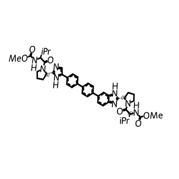 COC(=O)NC(C(=O)N1CCC[C@H]1c1ncc(-c2ccc(-c3ccc(-c4ccc5nc([C@@H]6CCCN6C(=O)[C@@H](NC(=O)OC)C(C)C)[nH]c5c4)cc3)cc2)[nH]1)C(C)C